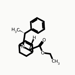 CCOC(=O)[C@@H]1C2C=CC(CC2)N1[C@H](C)c1ccccc1